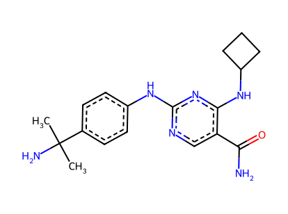 CC(C)(N)c1ccc(Nc2ncc(C(N)=O)c(NC3CCC3)n2)cc1